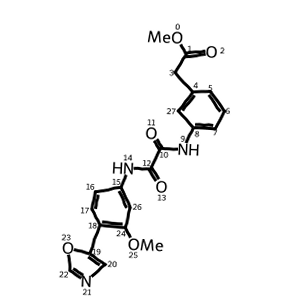 COC(=O)Cc1cccc(NC(=O)C(=O)Nc2ccc(-c3cnco3)c(OC)c2)c1